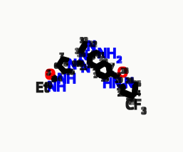 CCNC(=O)N[C@@H]1CCCN(c2nc(-c3ccc(C(=O)Nc4cc(C(F)(F)F)ccn4)cc3)c3c(N)nccn23)C1